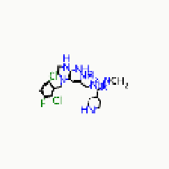 C=N/N=C(\NC/C(N)=C/C1=C(N)NCCN1Cc1c(Cl)ccc(F)c1Cl)C1CCNCC1